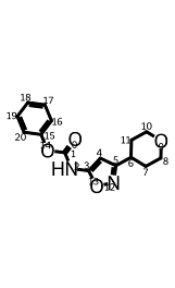 O=C(Nc1cc(C2CCOCC2)no1)Oc1ccccc1